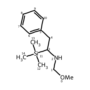 COCNC(Cc1ccccc1)[Si](C)(C)C